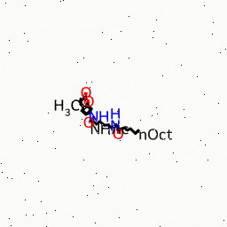 CCCCCCCC/C=C/CCCC(=O)NCCCC[C@H](NC(C)=O)C(=O)Nc1ccc2c(C)cc(=O)oc2c1